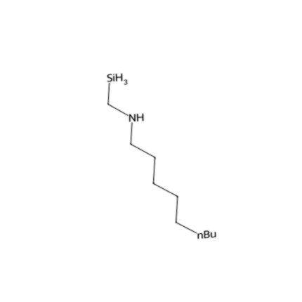 CCCCCCCCCNC[SiH3]